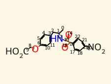 CC(Cc1ccc(OCC(=O)O)cc1)NS(=O)(=O)c1ccc([N+](=O)[O-])cc1